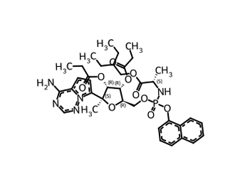 CCC(=O)O[C@H]1[C@@H](OC(=O)CC)[C@](C)(c2ccc3c(N)ncnn23)O[C@@H]1COP(=O)(N[C@@H](C)C(=O)OCC(CC)CC)Oc1cccc2ccccc12